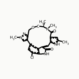 Cc1cc2c([nH]1)/C=C1\C(=O)Nc3c(Cl)cc(cc31)-c1cn(C)nc1COC[C@@H](C)N(C)C2=O